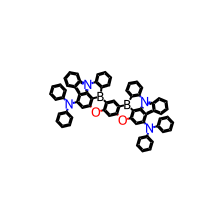 c1ccc(N(c2ccccc2)c2cc3c4c5c2c2ccccc2n5-c2ccccc2B4c2cc4c(cc2O3)Oc2cc(N(c3ccccc3)c3ccccc3)c3c5ccccc5n5c3c2B4c2ccccc2-5)cc1